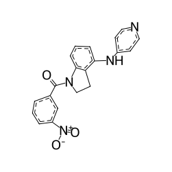 O=C(c1cccc([N+](=O)[O-])c1)N1CCc2c(Nc3ccncc3)cccc21